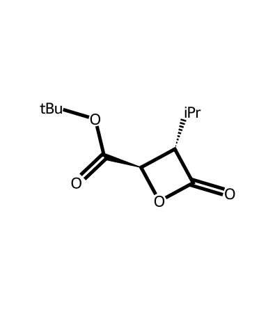 CC(C)[C@@H]1C(=O)O[C@H]1C(=O)OC(C)(C)C